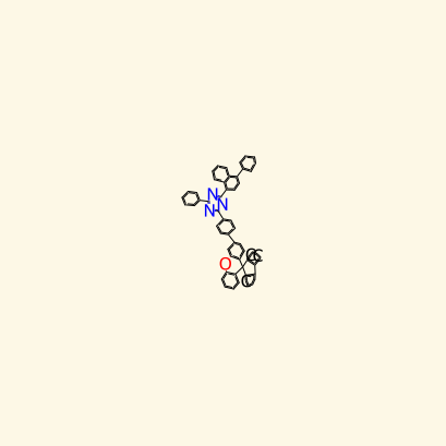 c1ccc(-c2nc(-c3ccc(-c4ccc5c(c4)Oc4ccccc4C54c5ccccc5-c5ccccc54)cc3)nc(-c3ccc(-c4ccccc4)c4ccccc34)n2)cc1